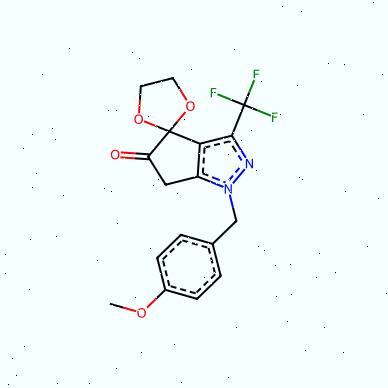 COc1ccc(Cn2nc(C(F)(F)F)c3c2CC(=O)C32OCCO2)cc1